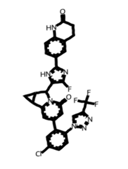 O=C1CCc2cc(-c3nc(F)c(C4C5CC5c5cc(-c6cc(Cl)ccc6-n6cc(C(F)(F)F)nn6)cc(=O)n54)[nH]3)ccc2N1